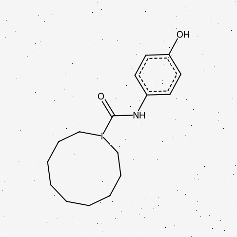 O=C(Nc1ccc(O)cc1)I1CCCCCCCCC1